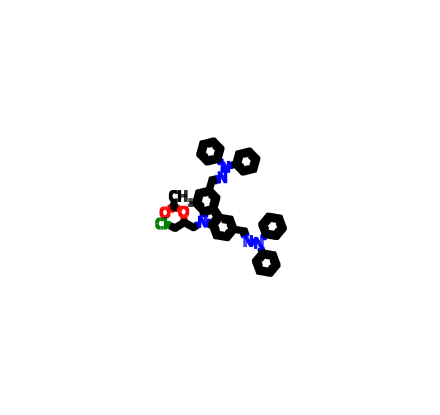 CC(=O)OC(CCl)Cn1c2ccc(C=NN(c3ccccc3)c3ccccc3)cc2c2cc(C=NN(c3ccccc3)c3ccccc3)ccc21